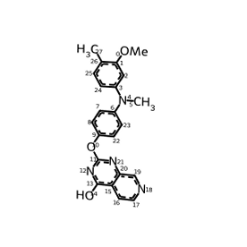 COc1cc(N(C)c2ccc(Oc3nc(O)c4ccncc4n3)cc2)ccc1C